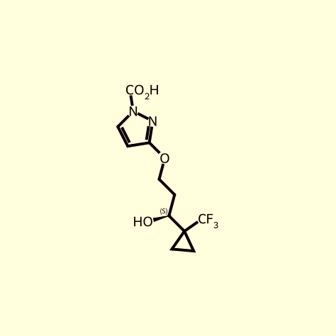 O=C(O)n1ccc(OCC[C@H](O)C2(C(F)(F)F)CC2)n1